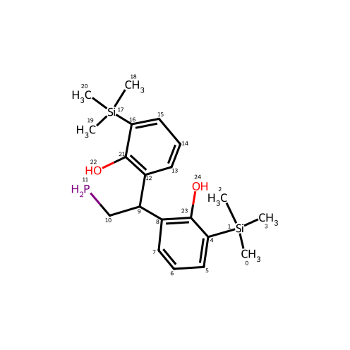 C[Si](C)(C)c1cccc(C(CP)c2cccc([Si](C)(C)C)c2O)c1O